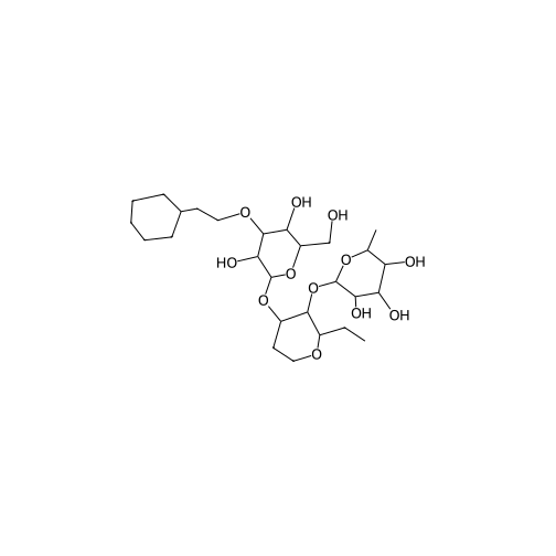 CCC1OCCC(OC2OC(CO)C(O)C(OCCC3CCCCC3)C2O)C1OC1OC(C)C(O)C(O)C1O